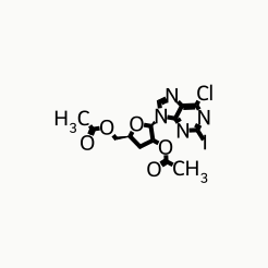 CC(=O)OC[C@@H]1CC(OC(C)=O)[C@H](n2cnc3c(Cl)nc(I)nc32)O1